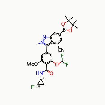 COc1cc(-c2c3c(C#N)cc(B4OC(C)(C)C(C)(C)O4)cc3nn2C)cc(OC(F)F)c1C(=O)N[C@@H]1C[C@@H]1F